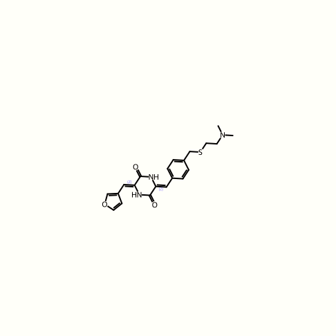 CN(C)CCSCc1ccc(/C=c2\[nH]c(=O)/c(=C/c3ccoc3)[nH]c2=O)cc1